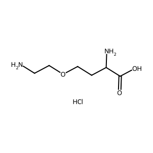 Cl.NCCOCCC(N)C(=O)O